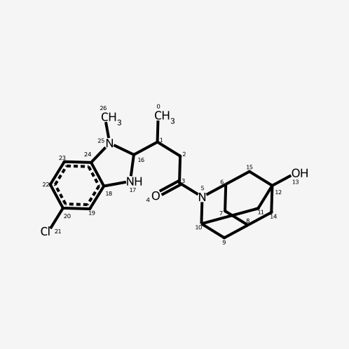 CC(CC(=O)N1C2CC3CC1CC(O)(C3)C2)C1Nc2cc(Cl)ccc2N1C